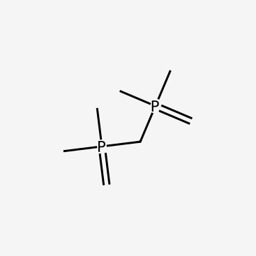 C=P(C)(C)CP(=C)(C)C